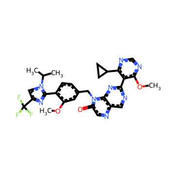 COc1cc(Cn2c(=O)cnc3cnc(-c4c(OC)ncnc4C4CC4)nc32)ccc1-c1nc(C(F)(F)F)cn1C(C)C